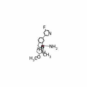 [2H]C1([2H])OC(N)=N[C@]12c1cc(-c3cncc(F)c3)ccc1C[C@@]21CC[C@H](OC)[C@@H](C)C1